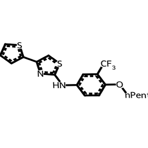 CCCCCOc1ccc(Nc2nc(-c3cccs3)cs2)cc1C(F)(F)F